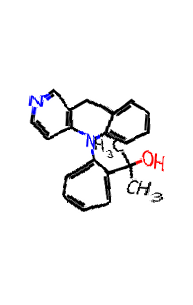 CC(C)(O)c1ccccc1N1c2ccccc2Cc2cnccc21